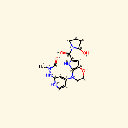 CN(C=O)NC1C=C(N2CCOc3cc(C(=O)N4CCCC4O)[nH]c32)C=CN1